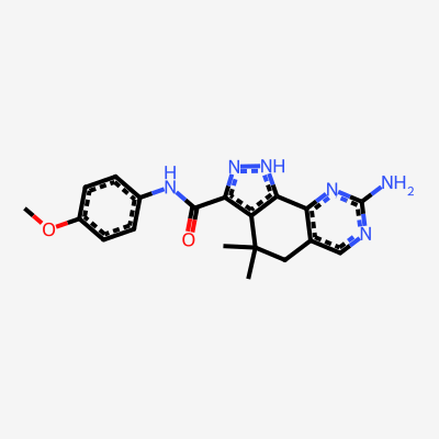 COc1ccc(NC(=O)c2n[nH]c3c2C(C)(C)Cc2cnc(N)nc2-3)cc1